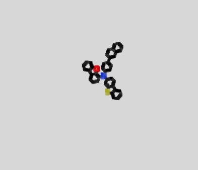 c1ccc2cc(-c3ccc(N(c4ccc5c(c4)sc4ccccc45)c4cccc5c4oc4ccccc45)cc3)ccc2c1